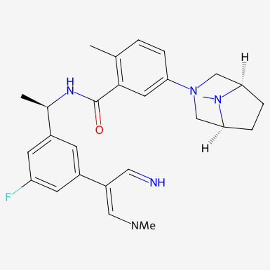 CN/C=C(\C=N)c1cc(F)cc([C@@H](C)NC(=O)c2cc(N3C[C@H]4CC[C@@H](C3)N4C)ccc2C)c1